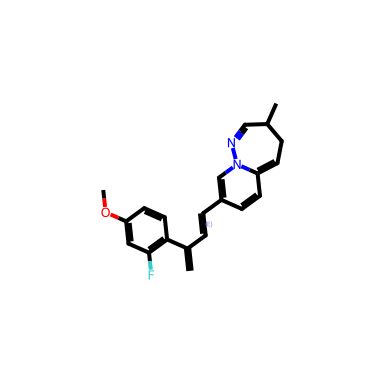 C=C(/C=C/C1=CN2N=CC(C)CC=C2C=C1)c1ccc(OC)cc1F